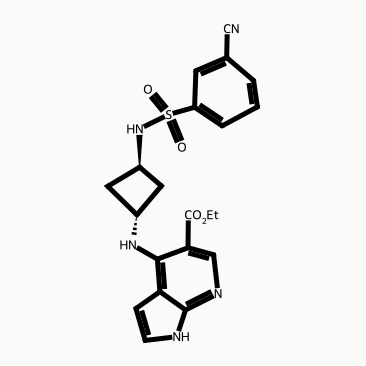 CCOC(=O)c1cnc2[nH]ccc2c1N[C@H]1C[C@H](NS(=O)(=O)c2cccc(C#N)c2)C1